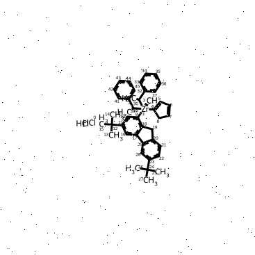 Cl.Cl.[CH2]=[Zr]([C]1=CC=CC1)([c]1cc(C(C)(C)C)cc2c1Cc1ccc(C(C)(C)C)cc1-2)([CH](C)c1ccccc1)[CH](C)c1ccccc1